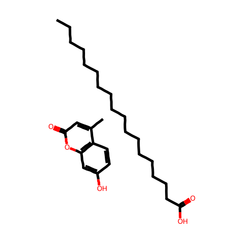 CCCCCCCCCCCCCCCCCC(=O)O.Cc1cc(=O)oc2cc(O)ccc12